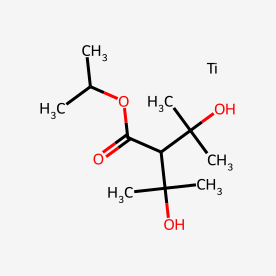 CC(C)OC(=O)C(C(C)(C)O)C(C)(C)O.[Ti]